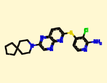 Nc1nccc(Sc2ccc3nc(N4CCC5(CCCC5)CC4)cnc3n2)c1Cl